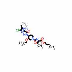 CCCCOC(=O)c1nc(N2CCC(NC(=O)c3nc(Cl)c(CC)[nH]3)C(OCC)C2)oc1C